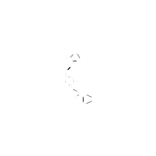 COc1ccccc1C#CCN1CCN(c2nc(-c3ccccc3)ns2)CC1